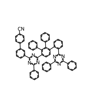 N#Cc1ccc(-c2cccc(-c3nc(-c4ccccc4)nc(-c4ccc(-c5ccccc5-c5nc(-c6ccccc6)nc(-c6ccccc6)n5)c(-c5ccccc5)c4-c4ccccc4)n3)c2)cc1